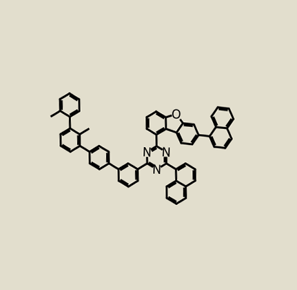 Cc1ccccc1-c1cccc(-c2ccc(-c3cccc(-c4nc(-c5cccc6ccccc56)nc(-c5cccc6oc7cc(-c8cccc9ccccc89)ccc7c56)n4)c3)cc2)c1C